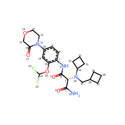 NC(=O)[C@H](C(=O)Nc1ccc(N2CCOCC2=O)cc1OC(F)F)N(CC1CCC1)C1CCC1